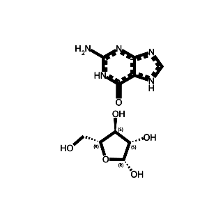 Nc1nc2nc[nH]c2c(=O)[nH]1.OC[C@H]1O[C@@H](O)[C@@H](O)[C@@H]1O